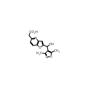 Cc1noc(C)c1C(O)c1cc2nc(CC(=O)O)ccc2o1